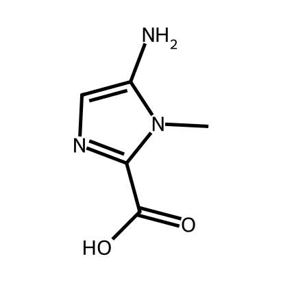 Cn1c(N)cnc1C(=O)O